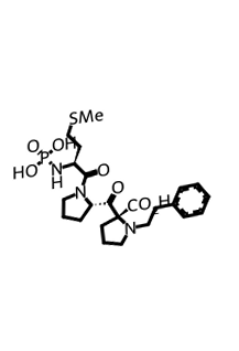 CSCC[C@H](NP(=O)(O)O)C(=O)N1CCC[C@H]1C(=O)[C@@]1(C(=O)O)CCCN1CCc1ccccc1